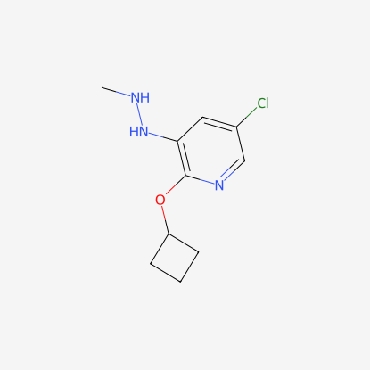 CNNc1cc(Cl)cnc1OC1CCC1